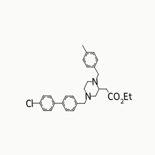 CCOC(=O)CC1CN(Cc2ccc(-c3ccc(Cl)cc3)cc2)CCN1Cc1ccc(C)cc1